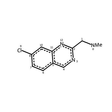 CNCc1ncc2ccc(Cl)cc2n1